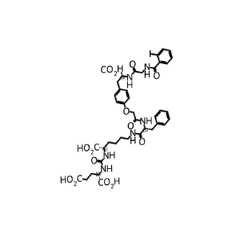 O=C(O)CC[C@H](NC(=O)N[C@@H](CCCCNC(=O)[C@H](Cc1ccccc1)NC(=O)COc1ccc(C[C@H](NC(=O)CNC(=O)c2ccccc2I)C(=O)O)cc1)C(=O)O)C(=O)O